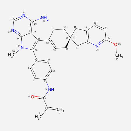 C=C(C)C(=O)Nc1ccc(-c2c(C3=CC[C@@]4(CC3)Cc3ccc(OC)nc3C4)c3c(N)ncnc3n2C)cc1